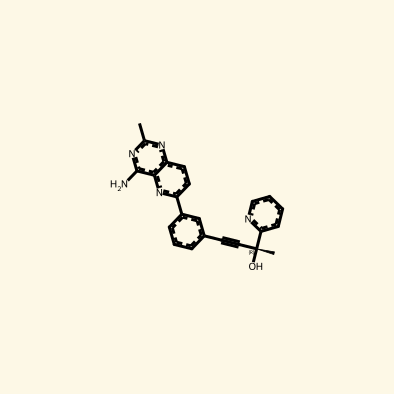 Cc1nc(N)c2nc(-c3cccc(C#C[C@@](C)(O)c4ccccn4)c3)ccc2n1